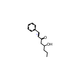 CCCC(O)CC(=O)/C=C/c1ccccc1